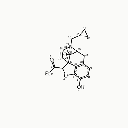 CCC(=O)[C@@H]1Oc2c(O)ccc3c2C12CCN(CC1CC1)C(C3)C2(C)O